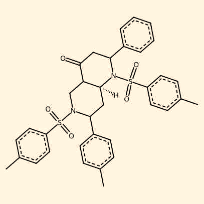 Cc1ccc(C2C[C@H]3C(CN2S(=O)(=O)c2ccc(C)cc2)C(=O)CC(c2ccccc2)N3S(=O)(=O)c2ccc(C)cc2)cc1